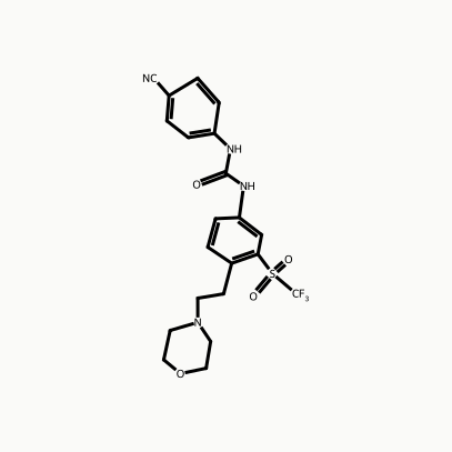 N#Cc1ccc(NC(=O)Nc2ccc(CCN3CCOCC3)c(S(=O)(=O)C(F)(F)F)c2)cc1